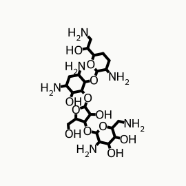 NCC(O)C1CCC(N)C(OC2C(N)CC(N)C(O)C2OC2OC(CO)C(OC3OC(CN)C(O)C(O)C3N)C2O)O1